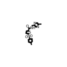 Cc1ccc(S(=O)(=O)c2ccc(C(=O)NCc3cnc(C)cn3)s2)cc1